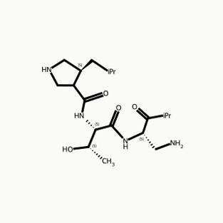 CC(C)C[C@@H]1CNCC1C(=O)N[C@H](C(=O)N[C@@H](CN)C(=O)C(C)C)[C@H](C)O